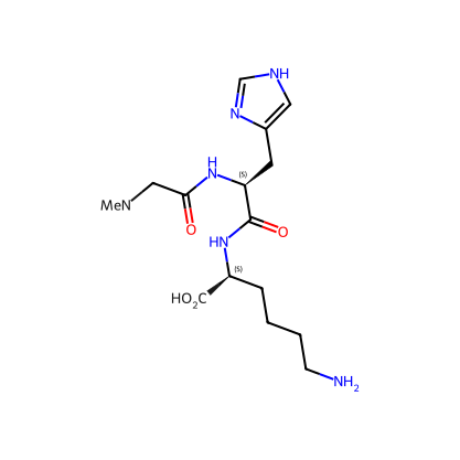 CNCC(=O)N[C@@H](Cc1c[nH]cn1)C(=O)N[C@@H](CCCCN)C(=O)O